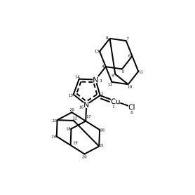 [Cl][Cu]=[c]1n(C23CC4CC(CC(C4)C2)C3)ccn1C12CC3CC(CC(C3)C1)C2